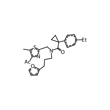 CCc1ccc(C2(C(=O)N(CCCc3ccco3)Cc3nc(C(C)=O)c(C)s3)CC2)cc1